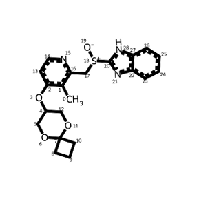 Cc1c(OC2COC3(CCC3)OC2)ccnc1C[S+]([O-])c1nc2ccccc2[nH]1